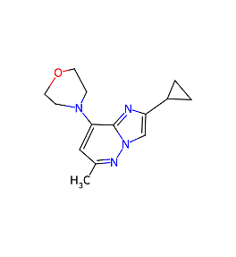 Cc1cc(N2CCOCC2)c2nc(C3CC3)cn2n1